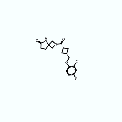 O=C1CCC2(CN(C(=O)[C@H]3C[C@H](COc4ccc(F)cc4Cl)C3)C2)N1